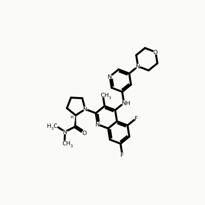 Cc1c(N2CCC[C@@H]2C(=O)N(C)C)nc2cc(F)cc(F)c2c1Nc1cncc(N2CCOCC2)c1